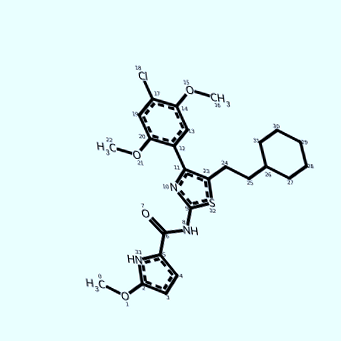 COc1ccc(C(=O)Nc2nc(-c3cc(OC)c(Cl)cc3OC)c(CCC3CCCCC3)s2)[nH]1